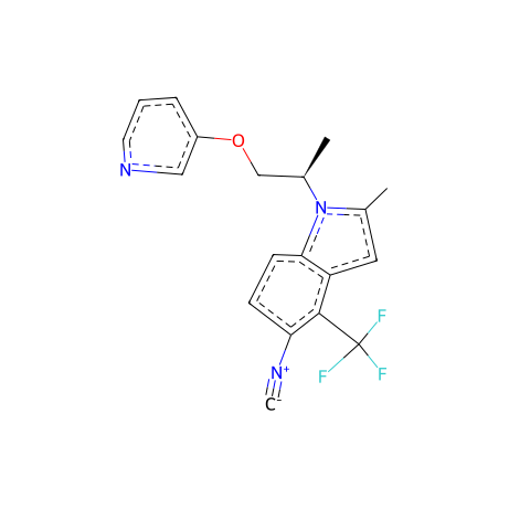 [C-]#[N+]c1ccc2c(cc(C)n2[C@H](C)COc2cccnc2)c1C(F)(F)F